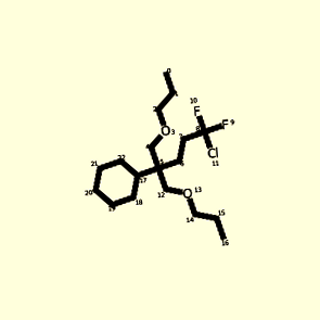 CCCOCC(CCC(F)(F)Cl)(COCCC)C1CCCCC1